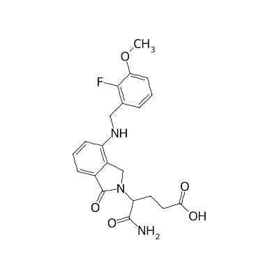 COc1cccc(CNc2cccc3c2CN(C(CCC(=O)O)C(N)=O)C3=O)c1F